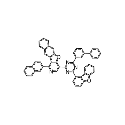 c1ccc(-c2cccc(-c3nc(-c4cnc(-c5ccc6ccccc6c5)c5c4oc4cc6ccccc6cc45)nc(-c4cccc5oc6ccccc6c45)n3)c2)cc1